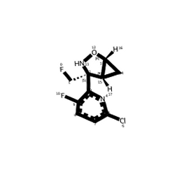 FC[C@]1(c2nc(Cl)ccc2F)NO[C@@H]2C[C@@H]21